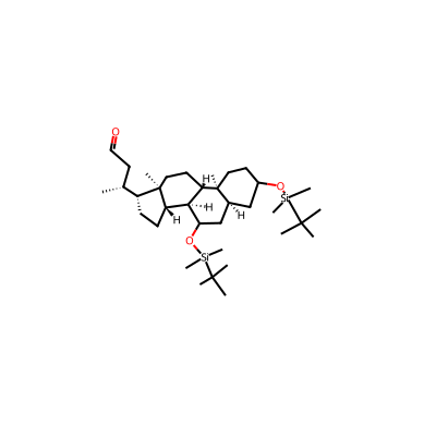 C[C@H](CC=O)[C@H]1CC[C@H]2[C@@H]3C(O[Si](C)(C)C(C)(C)C)C[C@@H]4CC(O[Si](C)(C)C(C)(C)C)CC[C@]4(C)[C@H]3CC[C@]12C